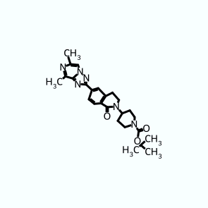 Cc1cn2nc(-c3ccc4c(c3)CCN(C3CCN(C(=O)OC(C)(C)C)CC3)C4=O)nc2c(C)n1